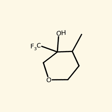 CC1CCOCC1(O)C(F)(F)F